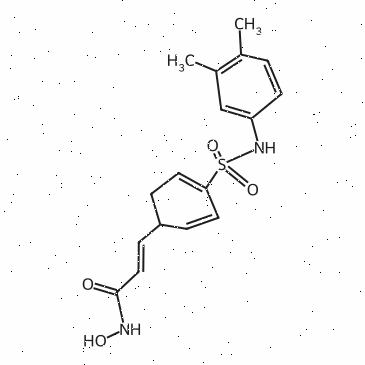 Cc1ccc(NS(=O)(=O)C2=CCC(/C=C/C(=O)NO)C=C2)cc1C